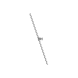 CCCCCCCCCCCCCCCCCCBCCCCCCCCCCCCCCCCCC